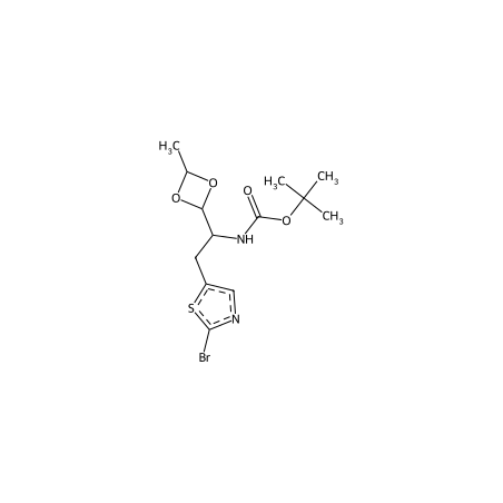 CC1OC(C(Cc2cnc(Br)s2)NC(=O)OC(C)(C)C)O1